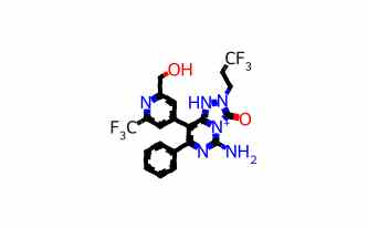 Nc1nc(-c2ccccc2)c(-c2cc(CO)nc(C(F)(F)F)c2)c2[nH]n(CCC(F)(F)F)c(=O)[n+]12